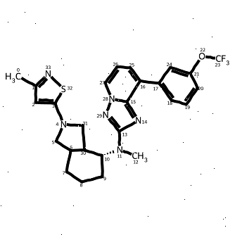 Cc1cc(N2CC3CCC[C@@H](N(C)c4nc5c(-c6cccc(OC(F)(F)F)c6)cccn5n4)C3C2)sn1